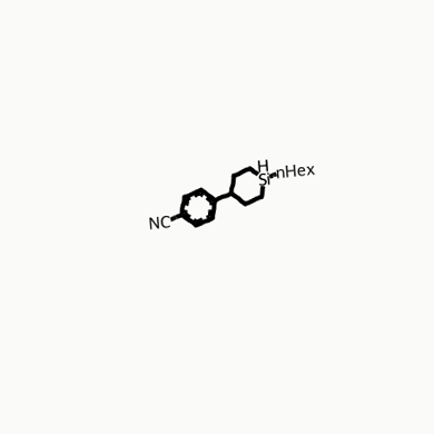 CCCCCC[SiH]1CCC(c2ccc(C#N)cc2)CC1